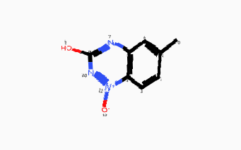 Cc1ccc2c(c1)nc(O)n[n+]2[O-]